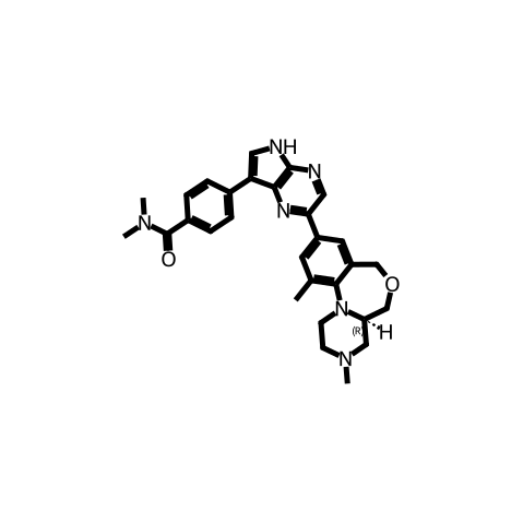 Cc1cc(-c2cnc3[nH]cc(-c4ccc(C(=O)N(C)C)cc4)c3n2)cc2c1N1CCN(C)C[C@@H]1COC2